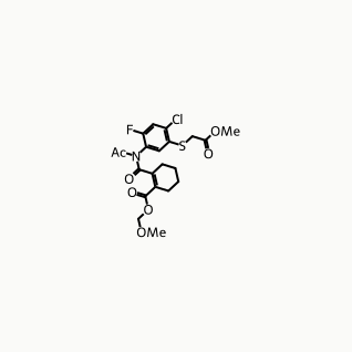 COCOC(=O)C1=C(C(=O)N(C(C)=O)c2cc(SCC(=O)OC)c(Cl)cc2F)CCCC1